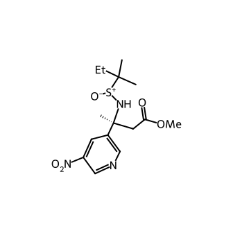 CCC(C)(C)[S+]([O-])N[C@@](C)(CC(=O)OC)c1cncc([N+](=O)[O-])c1